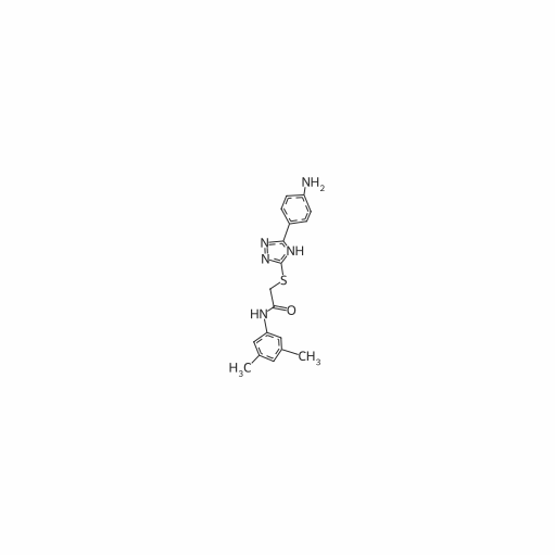 Cc1cc(C)cc(NC(=O)CSc2nnc(-c3ccc(N)cc3)[nH]2)c1